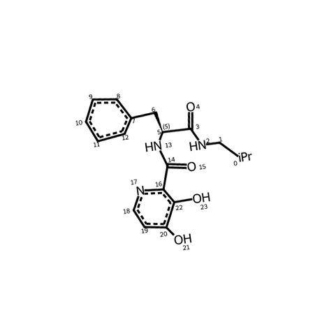 CC(C)CNC(=O)[C@H](Cc1ccccc1)NC(=O)c1nccc(O)c1O